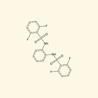 O=S(=O)(Nc1ccccc1NS(=O)(=O)c1c(F)cccc1F)c1c(F)cccc1F